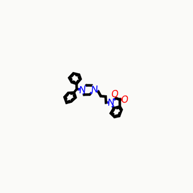 O=C1C(=O)N(CCCCN2CCN(C(c3ccccc3)c3ccccc3)CC2)c2ccccc21